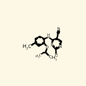 Cc1ccc(Nc2nc(Cl)ncc2C#N)c(OC(C)C)c1